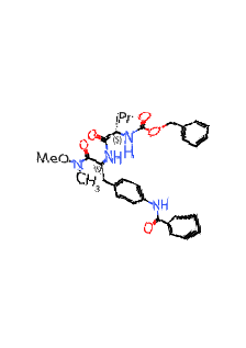 CON(C)C(=O)[C@H](Cc1ccc(NC(=O)c2ccccc2)cc1)NC(=O)[C@@H](NC(=O)OCc1ccccc1)C(C)C